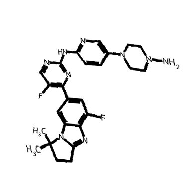 CC1(C)CCc2nc3c(F)cc(-c4nc(Nc5ccc(N6CCN(N)CC6)cn5)ncc4F)cc3n21